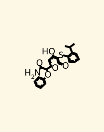 CC(C)c1ccccc1Sc1c(O)cc(C(Oc2ccccc2)C(N)=O)oc1=O